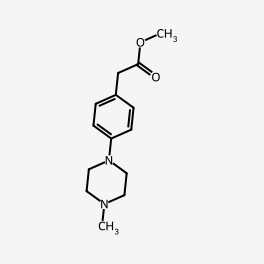 COC(=O)Cc1ccc(N2CCN(C)CC2)cc1